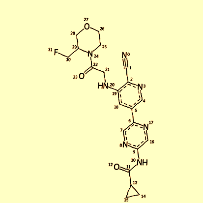 N#Cc1ncc(-c2cnc(NC(=O)C3CC3)cn2)cc1NCC(=O)N1CCOCC1CF